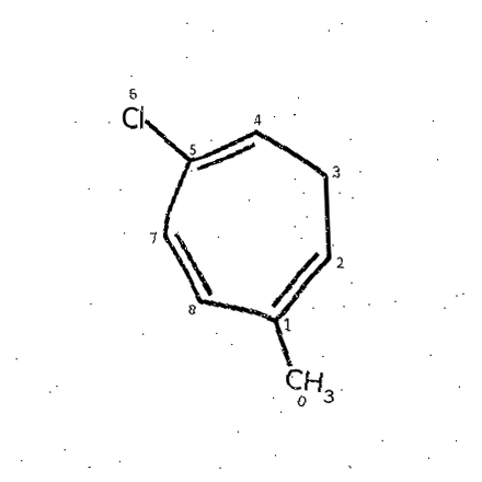 CC1=CCC=C(Cl)C=C1